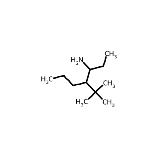 CCCC(C(N)CC)C(C)(C)C